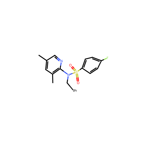 Cc1cnc(N(CC(C)C)S(=O)(=O)c2ccc(F)cc2)c(C)c1